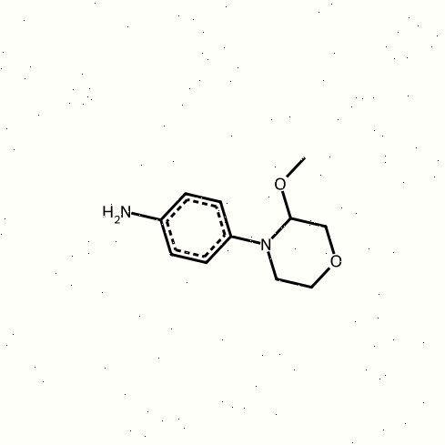 COC1COCCN1c1ccc(N)cc1